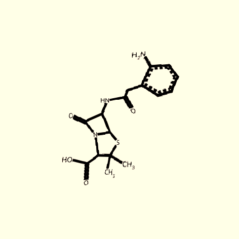 CC1(C)SC2C(NC(=O)Cc3ccccc3N)C(=O)N2C1C(=O)O